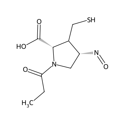 CCC(=O)N1C[C@@H](N=O)C(CS)[C@H]1C(=O)O